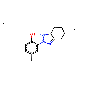 Cc1ccc(O)c(N2N=C3CCCCC3N2)c1